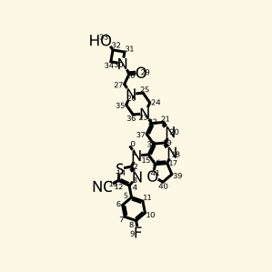 CN(c1nc(-c2ccc(F)cc2)c(C#N)s1)c1c2c(nc3ncc(N4CCN(CC(=O)N5CC(O)C5)CC4)cc13)CCO2